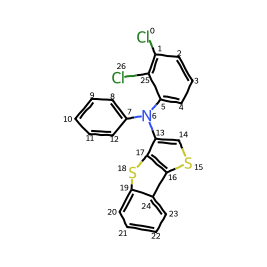 Clc1cccc(N(c2ccccc2)c2csc3c2sc2ccccc23)c1Cl